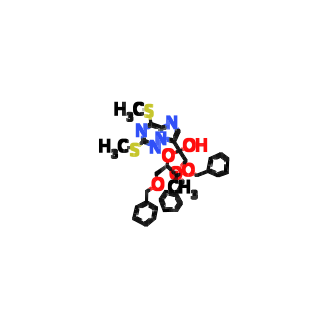 CSc1nc(SC)c2ncc(C(O)(COCc3ccccc3)O[C@H](COCc3ccccc3)[C@H](C)OCc3ccccc3)n2n1